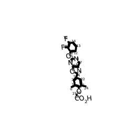 Cc1cc(-c2nc3cnc(Oc4cccc(F)c4F)nc3o2)cc(C)c1OCC(=O)O